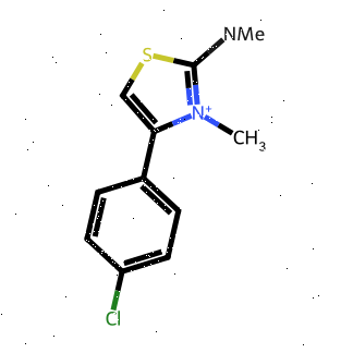 CNc1scc(-c2ccc(Cl)cc2)[n+]1C